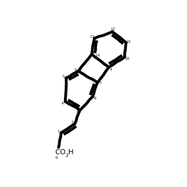 O=C(O)C=Cc1ccc2c(c1)-c1ccccc1-2